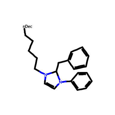 CCCCCCCCCCCCCCCN1C=CN(c2ccccc2)C1Cc1ccccc1